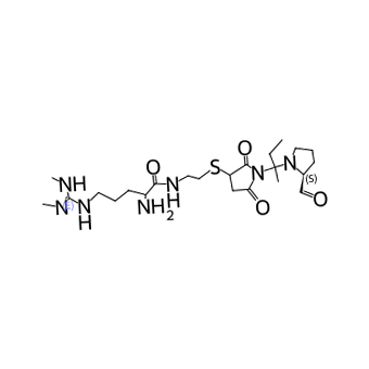 CCC(C)(N1C(=O)CC(SCCNC(=O)C(N)CCCN/C(=N/C)NC)C1=O)N1CCC[C@H]1C=O